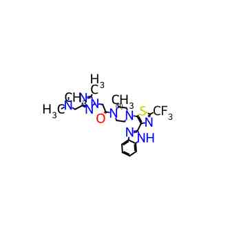 Cc1nc(CN(C)C)nn1CC(=O)N1CCN(c2sc(C(F)(F)F)nc2-c2nc3ccccc3[nH]2)C[C@H]1C